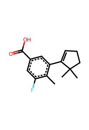 Cc1c(F)cc(C(=O)O)cc1C1=CCCC1(C)C